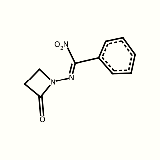 O=C1CCN1N=C(c1ccccc1)[N+](=O)[O-]